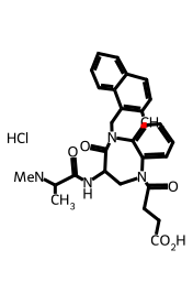 CNC(C)C(=O)NC1CN(C(=O)CCC(=O)O)c2ccccc2N(Cc2c(C)ccc3ccccc23)C1=O.Cl